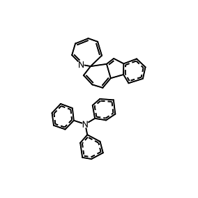 C1=CC=NC2(C=C1)C=CC=C1C2=Cc2ccccc21.c1ccc(N(c2ccccc2)c2ccccc2)cc1